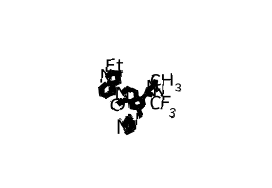 CCc1ccc2c(N3CCc4c(cc(Cn5ccnc5)cc4-c4cn(C)nc4C(F)(F)F)C3=O)cccc2n1